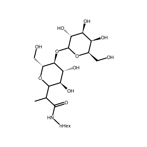 CCCCCCNC(=O)C(C)C1O[C@H](CO)[C@@H](OC2O[C@H](CO)[C@H](O)[C@H](O)[C@H]2O)[C@H](O)[C@H]1O